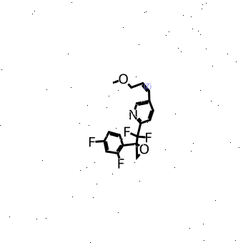 COC/C=C\c1ccc(C(F)(F)C2(c3ccc(F)cc3F)CO2)nc1